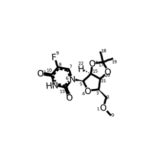 COC[C@H]1O[C@@H](n2cc(F)c(=O)[nH]c2=O)[C@H]2OC(C)(C)OC12